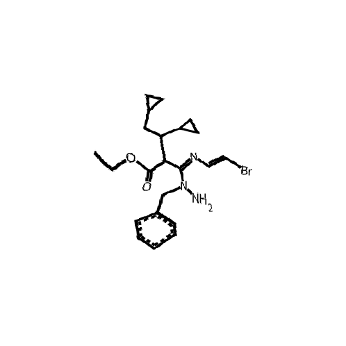 CCOC(=O)C(/C(=N/C=C/Br)N(N)Cc1ccccc1)C(CC1CC1)C1CC1